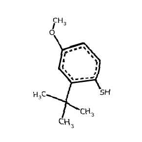 COc1ccc(S)c(C(C)(C)C)c1